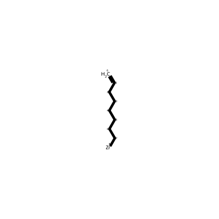 C=CCCCCC[CH2][Zr]